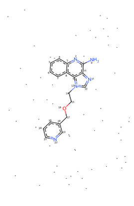 Nc1nc2ccccc2c2c1ncn2CCOCc1cccnc1